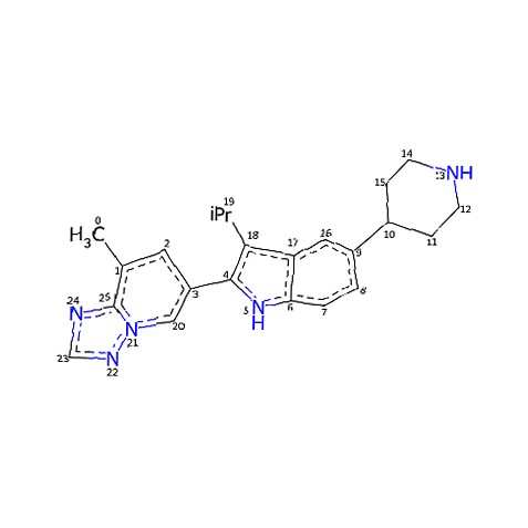 Cc1cc(-c2[nH]c3ccc(C4CCNCC4)cc3c2C(C)C)cn2ncnc12